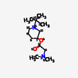 CN(C)CC(=O)O[C@H]1CCCN(C(C)(C)C)C1